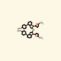 CCCc1ccc(-c2cccc3c2C=[C]([Zr][C]2=Cc4c(-c5ccc(CCC)cc5)cccc4C2c2ccc(C)o2)C3c2ccc(C)o2)cc1